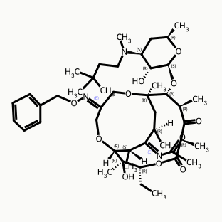 CC[C@H]1OC(=O)[C@H](C)C(=O)[C@H](C)[C@@H](O[C@@H]2O[C@H](C)C[C@H](N(C)CCC(C)(C)C)[C@H]2O)[C@@]2(C)C[C@@H](C)/C(=N\C(C)=O)[C@H](C)[C@@H](OC/C(=N\OCc3ccccc3)CO2)[C@]1(C)O